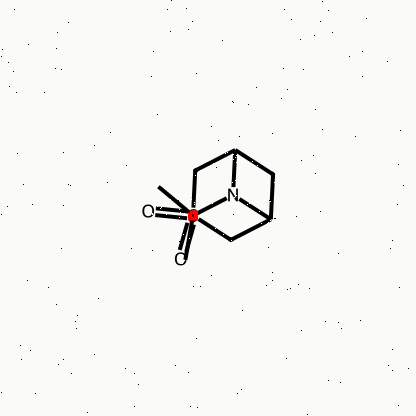 CC(C)N1C2CC1CS(=O)(=O)C2